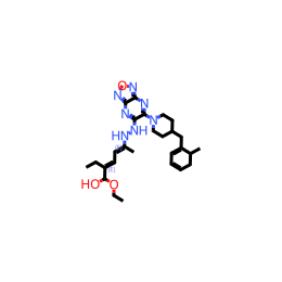 CCOC(O)/C(=C/C=C(\C)NNc1nc2nonc2nc1N1CCC(CC2=CC=CCC2C)CC1)CC